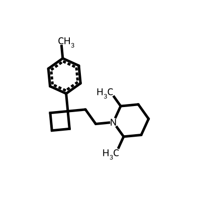 Cc1ccc(C2(CCN3C(C)CCCC3C)CCC2)cc1